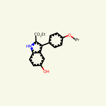 CCOC(=O)c1[nH]c2ccc(O)cc2c1-c1ccc(OC(C)C)cc1